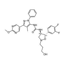 COc1ncc(-c2nn(-c3ccccc3)c(NC(=O)N[C@@H]3CN(CCCO)O[C@H]3c3ccc(F)c(F)c3)c2C)cn1